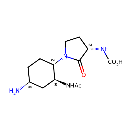 CC(=O)N[C@H]1C[C@H](N)CC[C@@H]1N1CC[C@H](NC(=O)O)C1=O